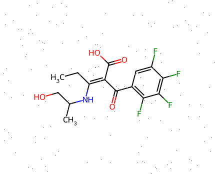 CCC(NC(C)CO)=C(C(=O)O)C(=O)c1cc(F)c(F)c(F)c1F